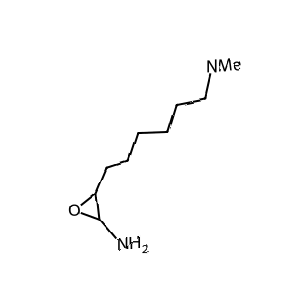 CNCCCCCCC1OC1N